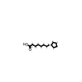 C1CCCC1.CCCCCCCC(=O)O